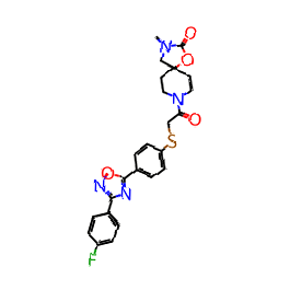 CN1CC2(CCN(C(=O)CSc3ccc(-c4nc(-c5ccc(F)cc5)no4)cc3)CC2)OC1=O